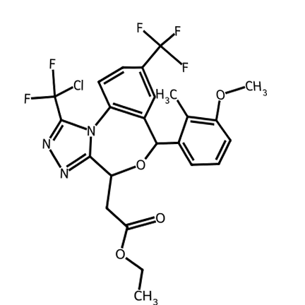 CCOC(=O)CC1OC(c2cccc(OC)c2C)c2cc(C(F)(F)F)ccc2-n2c1nnc2C(F)(F)Cl